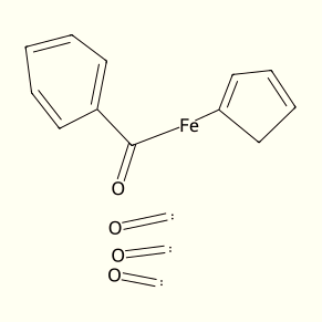 O=[C]([Fe][C]1=CC=CC1)c1ccccc1.[C]=O.[C]=O.[C]=O